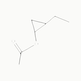 CCC1CC1OC(C)=O